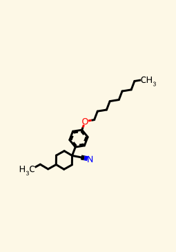 CCCCCCCCCOc1ccc(C2(C#N)CCC(CCC)CC2)cc1